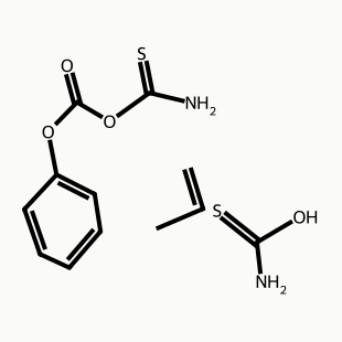 C=CC.NC(=S)OC(=O)Oc1ccccc1.NC(O)=S